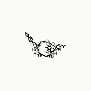 C/C1=C/C=C/C(C)[C@H](O)CC(O)C[C@H](OC(=O)CC(=O)N2CCN(C3CN(C)C3)CC2)CC/C=C/O[C@@]2(C)Oc3c(C)c(O)c4c(c3C2=O)C2=NC3(CCN(CC(C)C)CC3)NC2=C(NC1=O)C4=O